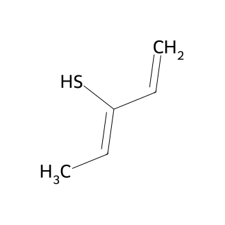 C=C/C(S)=C/C